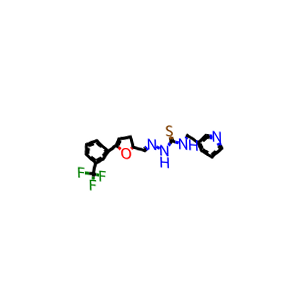 FC(F)(F)c1cccc(C2=CCC(/C=N/NC(=S)NCc3cccnc3)O2)c1